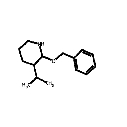 CC(C)C1CCCNC1OCc1ccccc1